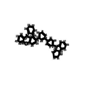 c1cc(-c2ccc(-n3c4ccccc4c4ccccc43)cc2)cc(-c2ccc3c4c2c2ccccc2n4-c2ccccc2O3)c1